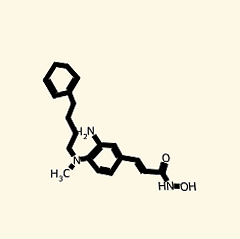 CN(CCCCC1=CCCC=C1)c1ccc(/C=C/C(=O)NO)cc1N